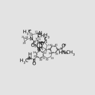 CCc1nnc(C2(C[C@H](C)NCC(=O)N(C(C)C#N)C3CC3)c3ccc(C(=O)NC)cc3CCc3cc(C(=O)NC)ccc32)o1